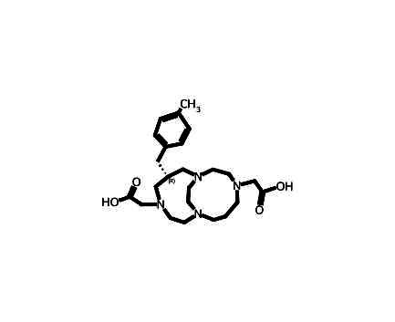 Cc1ccc(C[C@@H]2CN3CCN(CCCN(CC(=O)O)CC3)CCN(CC(=O)O)C2)cc1